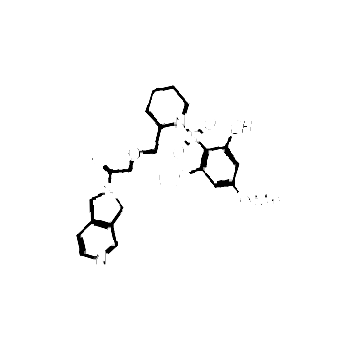 COc1cc(C)c(S(=O)(=O)N2CCCCC2COCC(=O)N2Cc3ccncc3C2)c(C)c1